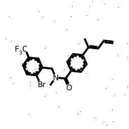 C=C/C=C(\C)c1ccc(C(=O)N(C)Cc2cc(C(F)(F)F)ccc2Br)cc1